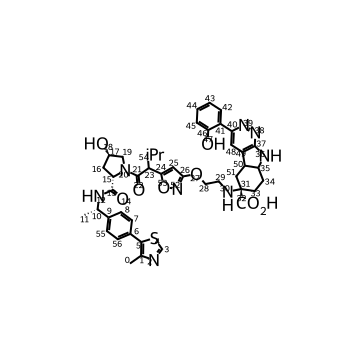 Cc1ncsc1-c1ccc([C@H](C)NC(=O)[C@@H]2C[C@@H](O)CN2C(=O)C(c2cc(OCCN[C@@]3(C(=O)O)CCC4Nc5nnc(-c6ccccc6O)cc5C4C3)no2)C(C)C)cc1